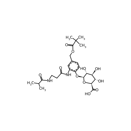 CC(C)C(=O)NCCC(=O)Nc1cc(COC(=O)C(C)(C)C)ccc1O[C@@H]1O[C@H](C(=O)O)[C@@H](O)[C@H](O)[C@H]1O